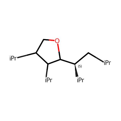 CC(C)C[C@@H](C(C)C)C1OCC(C(C)C)C1C(C)C